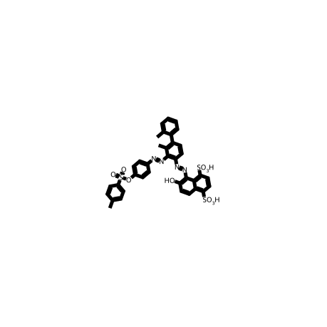 Cc1ccc(S(=O)(=O)Oc2ccc(N=Nc3c(N=Nc4c(O)ccc5c(S(=O)(=O)O)ccc(S(=O)(=O)O)c45)ccc(-c4ccccc4C)c3C)cc2)cc1